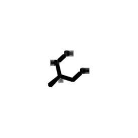 C[C@H](CO)NO